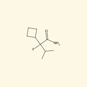 CC(C)C(F)(C(N)=O)C1CCC1